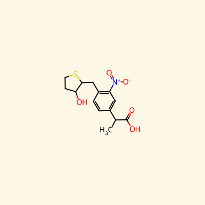 CC(C(=O)O)c1ccc(CC2SCCC2O)c([N+](=O)[O-])c1